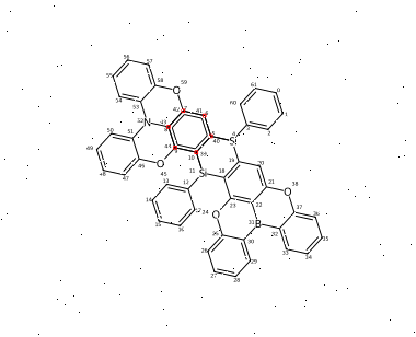 c1ccc([Si]23c4ccccc4[Si](c4ccccc4)(c4c2cc2c5c4Oc4ccccc4B5c4ccccc4O2)c2c3cc3c4c2Oc2ccccc2N4c2ccccc2O3)cc1